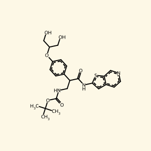 CC(C)(C)OC(=O)NCC(C(=O)Nc1cc2ccncc2s1)c1ccc(OC(CO)CO)cc1